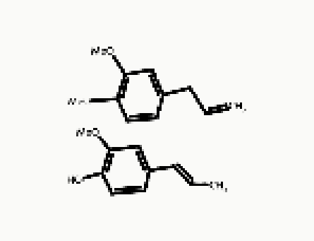 C=CCc1ccc(OC)c(OC)c1.CC=Cc1ccc(O)c(OC)c1